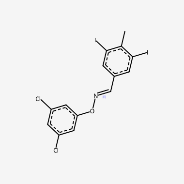 Cc1c(I)cc(/C=N/Oc2cc(Cl)cc(Cl)c2)cc1I